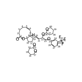 O=C1CCCC=CC[C@H]2C(C[C@@H](OC3CCCCO3)[C@@H]2/C=C/[C@H](COc2cccc(C(F)(F)F)c2)OC2CCCCO2)O1